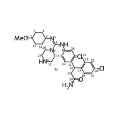 COC1CCC(/N=C(/Nc2ccc(C(CC(N)=O)c3ccc(Cl)cc3Cl)cc2)N2CCN[C@@H](C)C2)CC1